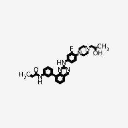 C=CC(=O)Nc1cccc(-c2cccc3cnc(Nc4ccc(N5CCN(C[C@@H](C)O)CC5)c(F)c4)nc23)c1